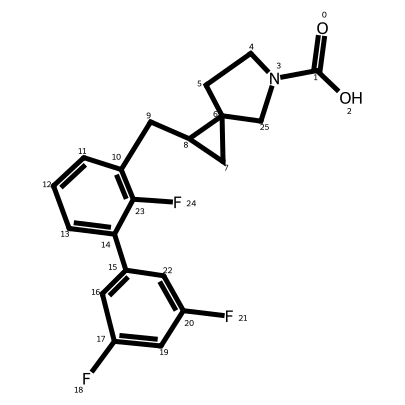 O=C(O)N1CCC2(CC2Cc2cccc(-c3cc(F)cc(F)c3)c2F)C1